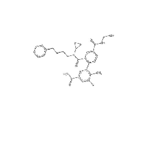 Cc1c(F)cc(C(N)=O)cc1-c1ccc(C(=O)NCC(C)(C)C)cc1C(=O)N(CCCCc1ccccc1)C1CC1